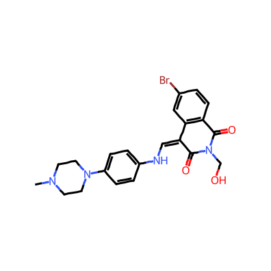 CN1CCN(c2ccc(N/C=C3\C(=O)N(CO)C(=O)c4ccc(Br)cc43)cc2)CC1